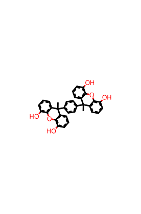 CC1(c2ccc(C3(C)c4cccc(O)c4Oc4c(O)cccc43)cc2)c2cccc(O)c2Oc2c(O)cccc21